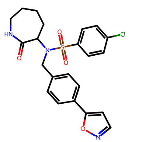 O=C1NCCCCC1N(Cc1ccc(-c2ccno2)cc1)S(=O)(=O)c1ccc(Cl)cc1